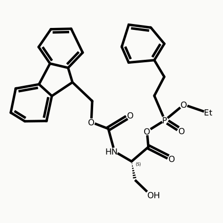 CCOP(=O)(CCc1ccccc1)OC(=O)[C@H](CO)NC(=O)OCC1c2ccccc2-c2ccccc21